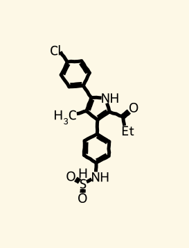 CCC(=O)c1[nH]c(-c2ccc(Cl)cc2)c(C)c1-c1ccc(N[SH](=O)=O)cc1